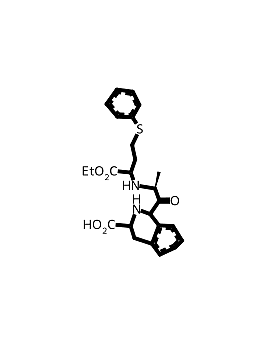 CCOC(=O)C(CCSc1ccccc1)N[C@@H](C)C(=O)C1NC(C(=O)O)Cc2ccccc21